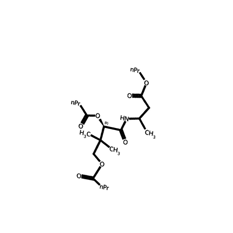 CCCOC(=O)CC(C)NC(=O)[C@H](OC(=O)CCC)C(C)(C)COC(=O)CCC